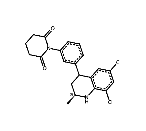 C[C@H]1CC(c2cccc(N3C(=O)CCCC3=O)c2)c2cc(Cl)cc(Cl)c2N1